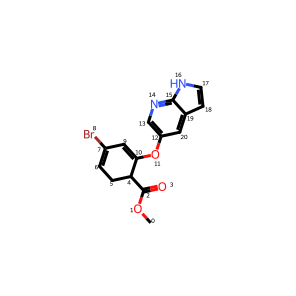 COC(=O)C1CC=C(Br)C=C1Oc1cnc2[nH]ccc2c1